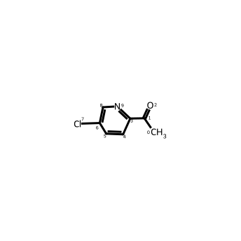 CC(=O)c1ccc(Cl)cn1